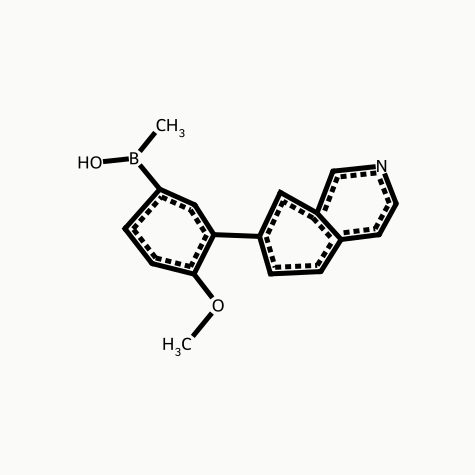 COc1ccc(B(C)O)cc1-c1ccc2ccncc2c1